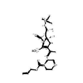 C=CCOC(=O)N1CCOC[C@H]1/C=C(\C)C1=C(C(=O)O)N2C(=O)[C@H]([C@@H](C)O[Si](C)(C)C)[C@H]2C1